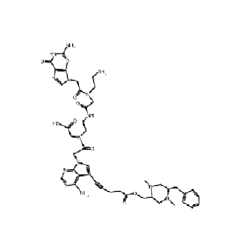 CN1CC(Cc2ccccc2)N(C)CC1COC(=O)CCC#Cc1cn(CC(=O)N(CCNC(=O)CN(CCN)C(=O)Cn2cnc3c(=O)[nH]c(N)nc32)CC(=O)O)c2ncnc(N)c12